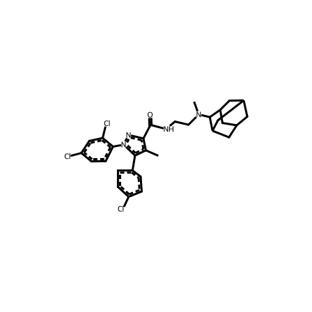 Cc1c(C(=O)NCCN(C)C2C3CC4CC(C3)CC2C4)nn(-c2ccc(Cl)cc2Cl)c1-c1ccc(Cl)cc1